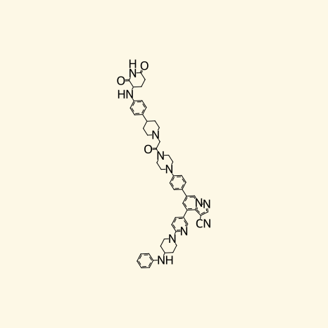 N#Cc1cnn2cc(-c3ccc(N4CCN(C(=O)CN5CCC(c6ccc(NC7CCC(=O)NC7=O)cc6)CC5)CC4)cc3)cc(-c3ccc(N4CCC(Nc5ccccc5)CC4)nc3)c12